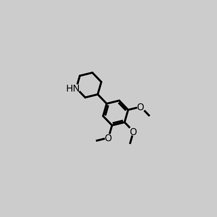 COc1cc(C2CCCNC2)cc(OC)c1OC